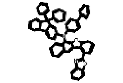 c1ccc(-c2ccc(N(c3ccc4c(c3)C(c3ccccc3)(c3ccccc3)c3ccccc3-4)c3c4ccccc4cc4c3oc3cccc(-c5nc6ccccc6o5)c34)cc2)cc1